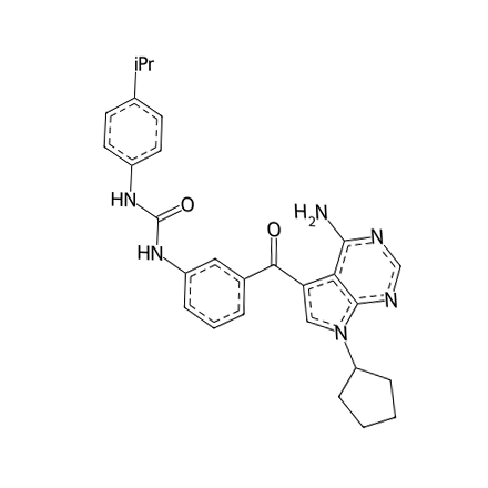 CC(C)c1ccc(NC(=O)Nc2cccc(C(=O)c3cn(C4CCCC4)c4ncnc(N)c34)c2)cc1